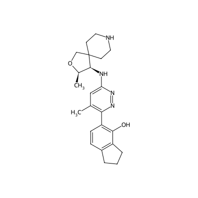 Cc1cc(N[C@H]2[C@@H](C)OCC23CCNCC3)nnc1-c1ccc2c(c1O)CCC2